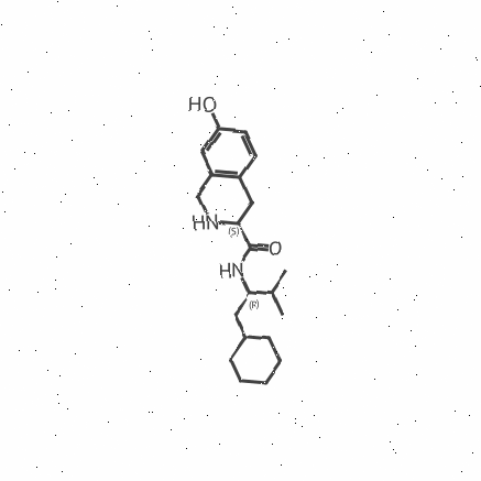 CC(C)[C@@H](CC1CCCCC1)NC(=O)[C@@H]1Cc2ccc(O)cc2CN1